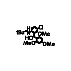 COc1cc(OC)c(C(O)c2cc(Cl)ccc2NCC(C)(C)C)c(OC)c1